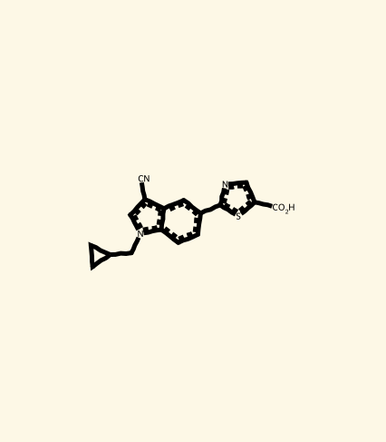 N#Cc1cn(CC2CC2)c2ccc(-c3ncc(C(=O)O)s3)cc12